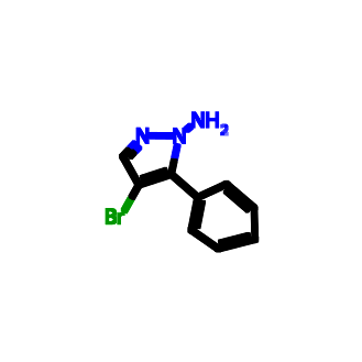 Nn1ncc(Br)c1-c1ccccc1